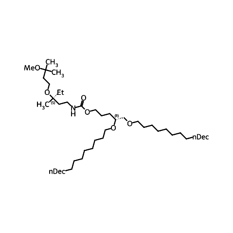 CCCCCCCCCCCCCCCCCCOC[C@@H](CCCOC(=O)NCC[C@](C)(CC)OCCC(C)(C)OC)OCCCCCCCCCCCCCCCCCC